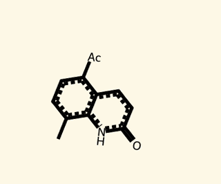 CC(=O)c1ccc(C)c2[nH]c(=O)ccc12